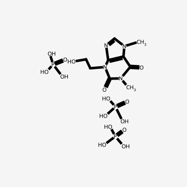 Cn1c(=O)c2c(ncn2C)n(CCO)c1=O.O=P(O)(O)O.O=P(O)(O)O.O=P(O)(O)O